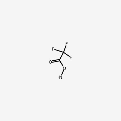 [N]OC(=O)C(F)(F)F